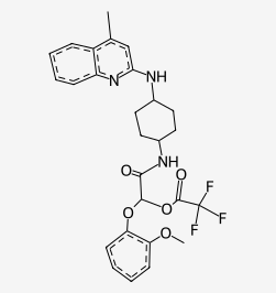 COc1ccccc1OC(OC(=O)C(F)(F)F)C(=O)NC1CCC(Nc2cc(C)c3ccccc3n2)CC1